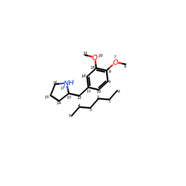 CCCCCC.COc1ccc(CC2CCCN2)cc1OC